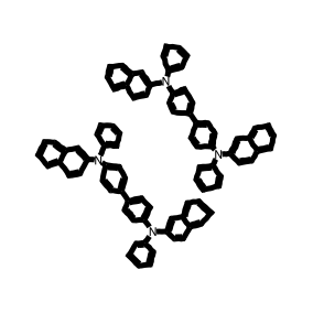 c1ccc(N(c2ccc(-c3ccc(N(c4ccccc4)c4ccc5ccccc5c4)cc3)cc2)c2ccc3ccccc3c2)cc1.c1ccc(N(c2ccc(-c3ccc(N(c4ccccc4)c4ccc5ccccc5c4)cc3)cc2)c2ccc3ccccc3c2)cc1